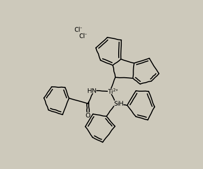 O=C([NH][Ti+2]([CH]1c2ccccc2-c2ccccc21)[SiH](c1ccccc1)c1ccccc1)c1ccccc1.[Cl-].[Cl-]